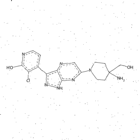 NC1(CO)CCN(c2cnc3c(-c4ccnc(O)c4Cl)n[nH]c3n2)CC1